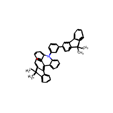 CC1(C)c2ccccc2-c2cc(-c3cccc(N(c4ccccc4)c4ccccc4-c4cccc5c4-c4ccccc4C5(C)C)c3)ccc21